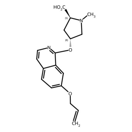 C=CCOc1ccc2ccnc(O[C@@H]3C[C@@H](C(=O)O)N(C)C3)c2c1